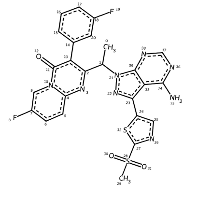 CC(c1nc2ccc(F)cn2c(=O)c1-c1cccc(F)c1)n1nc(-c2cnc(S(C)(=O)=O)s2)c2c(N)ncnc21